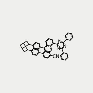 N#Cc1ccc(-c2ccc(C3CC4CC5CC(c6ccc(-c7cccc8c(-c9nc(-c%10ccccc%10)nc(-c%10ccccc%10)n9)cccc78)cc6)C453)cc2)cc1